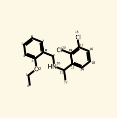 CCOc1ccccc1CNC(C)c1cccc(Cl)c1Cl